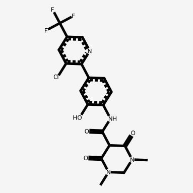 CN1CN(C)C(=O)C(C(=O)Nc2ccc(-c3ncc(C(F)(F)F)cc3Cl)cc2O)C1=O